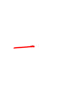 CCCCCCCCCCCCCCCCCCCCCCCC(=O)OCCS